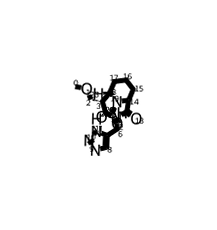 COC[C@H]1CN(Cc2cnn[nH]2)C(=O)C2CCC[C@@H]1N2[SH](=O)=O